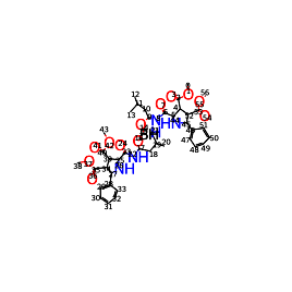 COC(=O)C1C(C(=O)NC(CC(C)C)OBOC(CC(C)C)NC(=O)C2NC(c3ccccc3)C(C(=O)OC)C2C(=O)OC)NC(c2ccccc2)C1C(=O)OC